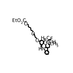 CCOC(=O)COCCCCCOCCCOc1cc(F)c([C@@H]2c3[nH]c4ccccc4c3C[C@@H](C)N2CC(C)(C)F)c(F)c1